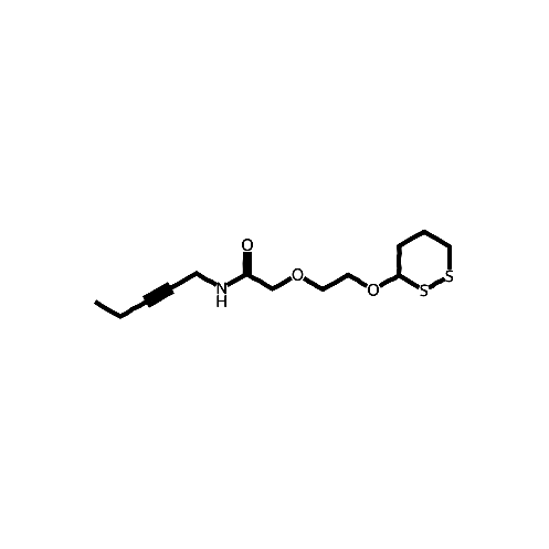 CCC#CCNC(=O)COCCOC1CCCSS1